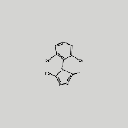 CCc1cccc(CC)c1-n1c(C)nnc1S